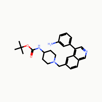 CC(C)(C)OC(=O)NC1CCN(Cc2ccc3cncc(-c4cccc(N)c4)c3c2)CC1